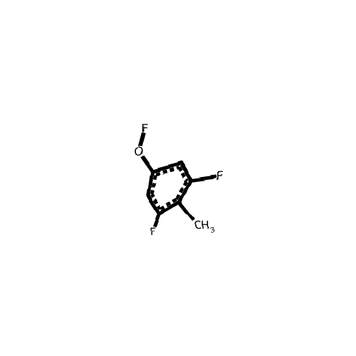 Cc1c(F)cc(OF)cc1F